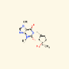 Cn1cnc2c1c(=O)n(C[C@@H]1CC[C@@](C)(O)C1)c(=O)n2C